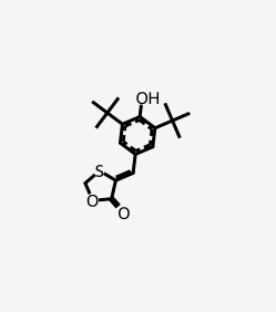 CC(C)(C)c1cc(/C=C2\SCOC2=O)cc(C(C)(C)C)c1O